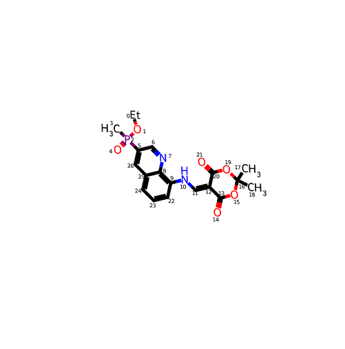 CCOP(C)(=O)c1cnc2c(NC=C3C(=O)OC(C)(C)OC3=O)cccc2c1